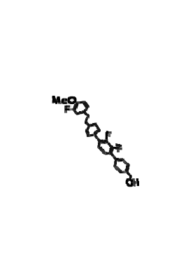 COc1ccc(CCc2ccc(-c3ccc(-c4ccc(CO)cc4)c(F)c3F)cc2)cc1F